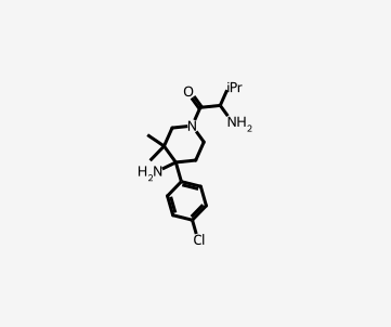 CC(C)C(N)C(=O)N1CCC(N)(c2ccc(Cl)cc2)C(C)(C)C1